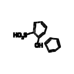 O=S(=O)(O)c1ccccc1O.c1ccccc1